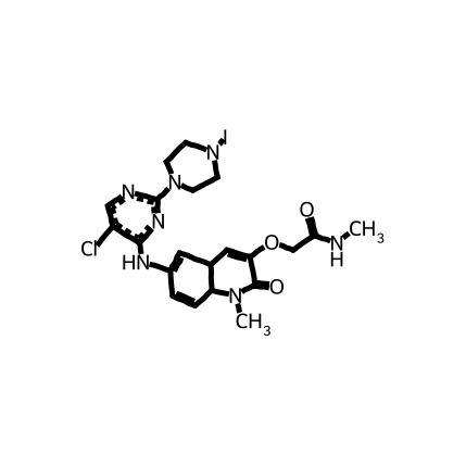 CNC(=O)COC1=CC2C=C(Nc3nc(N4CCN(I)CC4)ncc3Cl)C=CC2N(C)C1=O